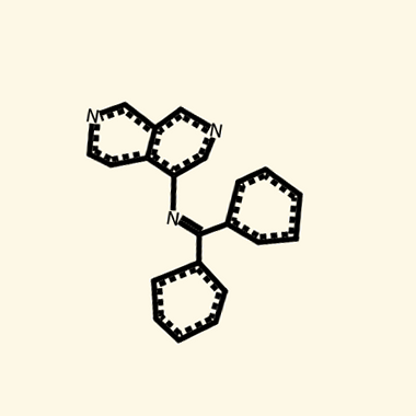 c1ccc(C(=Nc2cncc3cnccc23)c2ccccc2)cc1